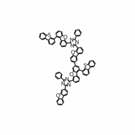 c1ccc(-c2nc(-c3ccc4c(c3)oc3ccccc34)nc(-c3cccc4c3oc3cc(-c5ccc6oc7c(-c8nc(-c9ccccc9)nc(-c9cccc%10c9oc9cccc(-c%11cccc%12c%11sc%11ccccc%11%12)c9%10)n8)cccc7c6c5)cc(-c5cccc6c5sc5ccccc56)c34)n2)cc1